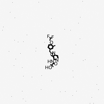 Cc1cc(Cn2cc3c(NC(=O)C(C)(C)O)nccc3n2)ccc1OCC(F)F